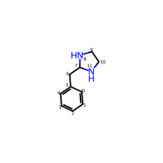 [c]1ccccc1CC1NCCN1